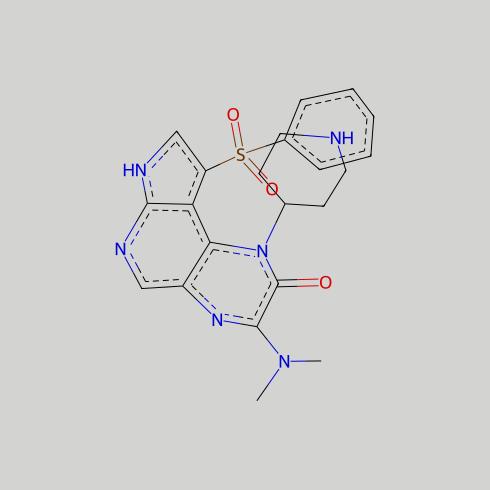 CN(C)c1nc2cnc3[nH]cc(S(=O)(=O)c4ccccc4)c3c2n(C2CCNCC2)c1=O